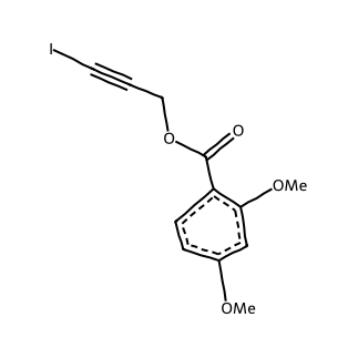 COc1ccc(C(=O)OCC#CI)c(OC)c1